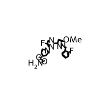 COc1cc(-c2ncc(F)c(N3CCC(S(N)(=O)=O)CC3)n2)nn1Cc1ccccc1F